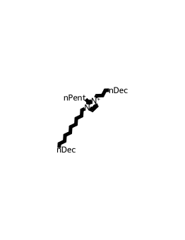 CCCCCCCCCCCCCCCCCCCn1cc[n+](CCCCCCCCCCCCC)c1CCCCC